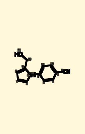 N#Cc1ccc([SH]2C=CC=C2CO)cc1